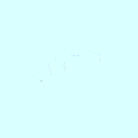 CCCN(CCC)CCNc1ccc(C(N)=O)cc1